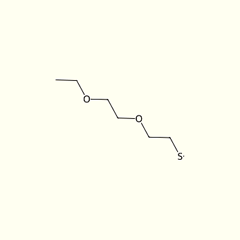 CCOCCOCC[S]